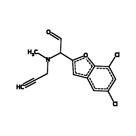 C#CCN(C)C(C=O)c1cc2cc(Cl)cc(Cl)c2o1